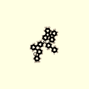 c1ccc(-c2ccc(N(c3ccc(-c4ccccc4-c4cccc5c4oc4ccccc45)cc3)c3ccc4c(c3)C(c3ccccc3)(c3ccccc3)c3ccccc3-4)cc2)cc1